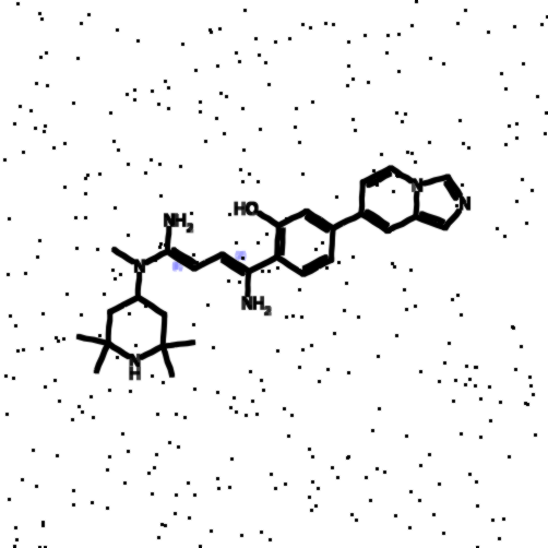 CN(/C(N)=C/C=C(\N)c1ccc(-c2ccn3cncc3c2)cc1O)C1CC(C)(C)NC(C)(C)C1